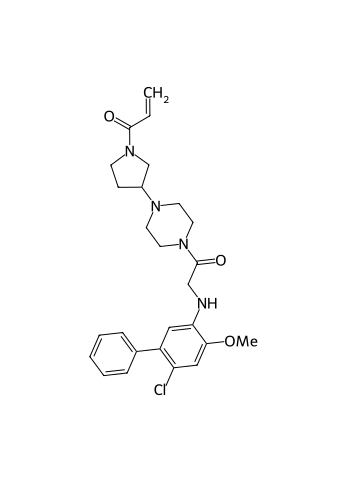 C=CC(=O)N1CCC(N2CCN(C(=O)CNc3cc(-c4ccccc4)c(Cl)cc3OC)CC2)C1